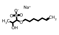 C=CCCCCCOC(C(C)O)S(=O)(=O)[O-].[Na+]